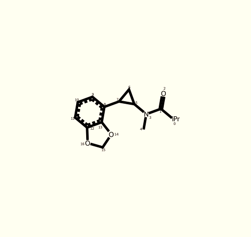 CC(C)C(=O)N(C)C1CC1c1cccc2c1OCO2